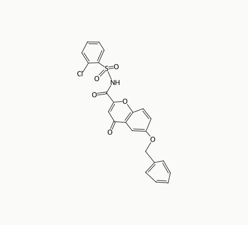 O=C(NS(=O)(=O)c1ccccc1Cl)c1cc(=O)c2cc(OCc3ccccc3)ccc2o1